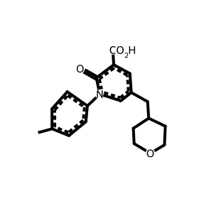 Cc1ccc(-n2cc(CC3CCOCC3)cc(C(=O)O)c2=O)cc1